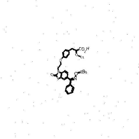 CCOC(Cc1ccc(OCCn2c(=O)sc3cc(/C(=N\OC(C)(C)C)c4ccccc4)ccc32)cc1)C(=O)O